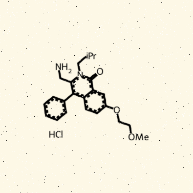 COCCOc1ccc2c(-c3ccccc3)c(CN)n(CC(C)C)c(=O)c2c1.Cl